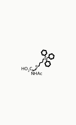 CC(=O)N[C@@H](CSCCCC[Si](c1ccccc1)(c1ccccc1)c1ccccc1)C(=O)O